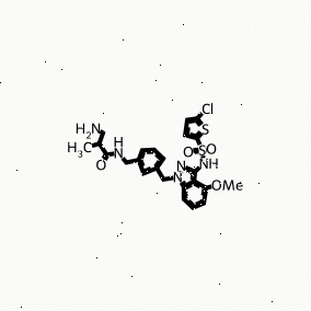 COc1cccc2c1c(NS(=O)(=O)c1ccc(Cl)s1)nn2Cc1cccc(CNC(=O)C(C)CN)c1